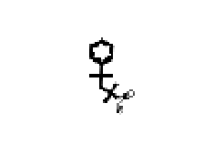 CC(C)(CC(C)(C)[SH](=O)=O)c1ccccc1